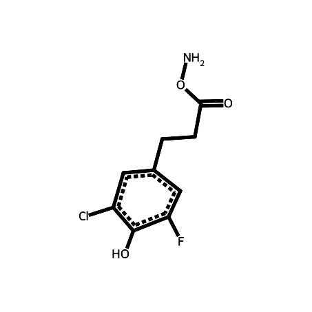 NOC(=O)CCc1cc(F)c(O)c(Cl)c1